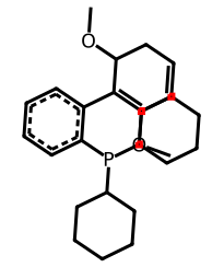 COC1=C(c2ccccc2P(C2CCCCC2)C2CCCCC2)C(OC)CC=C1